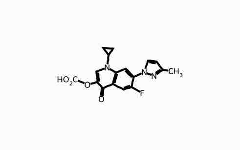 Cc1ccn(-c2cc3c(cc2F)c(=O)c(OC(=O)O)cn3C2CC2)n1